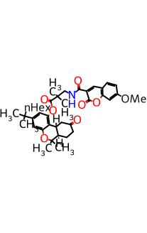 CCCCCCC(C)(C)c1cc(OC(=O)C(C)(C)CNC(=O)c2cc3ccc(OC)cc3oc2=O)c2c(c1)OC(C)(C)[C@@H]1CCC(=O)C[C@@H]21